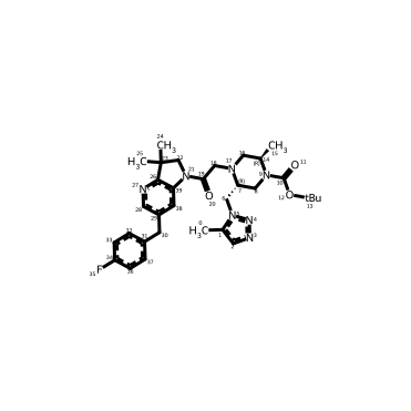 Cc1cnnn1C[C@H]1CN(C(=O)OC(C)(C)C)[C@H](C)CN1CC(=O)N1CC(C)(C)c2ncc(Cc3ccc(F)cc3)cc21